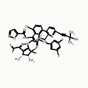 C[C@@H]1c2c(C(F)F)nn(CC(=O)N[C@@H](Cc3cc(F)cc(F)c3)c3nc(C#CC(C)(C)O)ccc3-c3ccc(Cl)c4c(NC(=O)c5ccno5)nn(C)c34)c2C(F)(F)[C@@H]1C